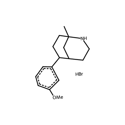 Br.COc1cccc(C2CCC3(C)CC2CCN3)c1